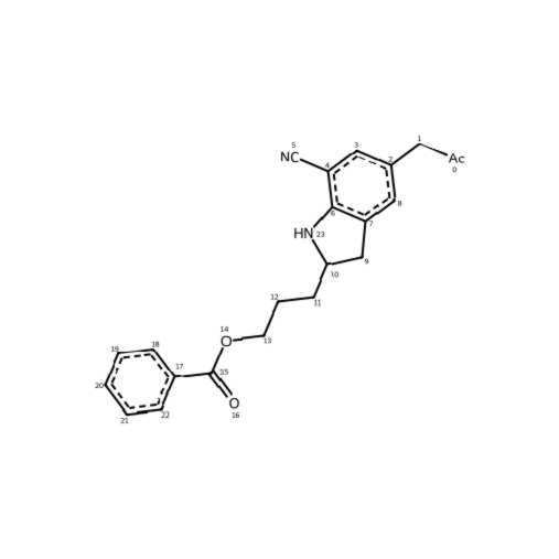 CC(=O)Cc1cc(C#N)c2c(c1)CC(CCCOC(=O)c1ccccc1)N2